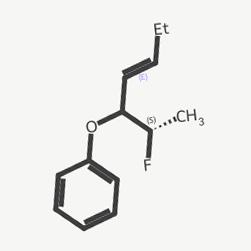 CC/C=C/C(Oc1ccccc1)[C@H](C)F